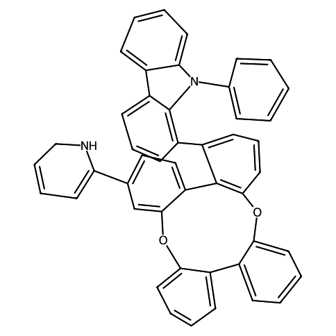 C1=CCNC(c2ccc3c(c2)Oc2ccccc2-c2ccccc2Oc2cccc(-c4cccc5c6ccccc6n(-c6ccccc6)c45)c2-3)=C1